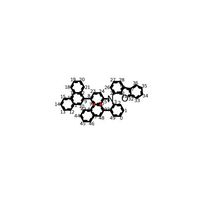 c1ccc(N(c2ccc(-c3cc4ccccc4c4ccccc34)cc2)c2cccc3c2oc2ccccc23)c(-c2ccc3ccccc3c2)c1